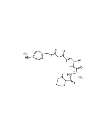 CCNc1ccc(COC(=O)CC(=O)/C(C)=C/C(C(C)C)N(C)C(=O)[C@@H](NC(=O)C2CCCCN2C)C(C)(C)C)cc1